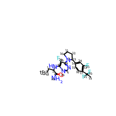 CC(C)(C)CC(Nc1ncnc(N2CCCC2c2ccc(C(C)(F)F)c(F)c2)c1F)C(N)=O